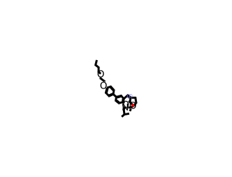 CCCCOCCOc1ccc(-c2ccc3c(c2)/C=C(\C(=O)OC)CCCCN3CC(C)C)cc1